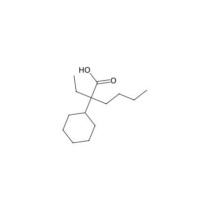 CCCCC(CC)(C(=O)O)C1CCCCC1